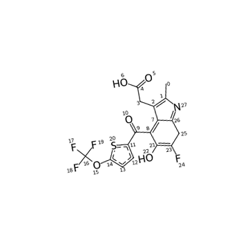 CC1=C(CC(=O)O)C2=C(C(=O)c3ccc(OC(F)(F)F)s3)C(O)=C(F)CC2=N1